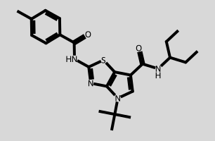 CCC(CC)NC(=O)c1cn(C(C)(C)C)c2nc(NC(=O)c3ccc(C)cc3)sc12